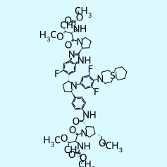 COC[C@H]1C[C@@H](C(=O)Nc2ccc([C@H]3CC[C@H](c4cc5[nH]c([C@@H]6CCCN6C(=O)[C@@H](NC(=O)OC)[C@@H](C)OC)nc5cc4F)N3c3cc(F)c(N4CC[Si]5(CCCCC5)CC4)c(F)c3)cc2)N(C(=O)[C@@H](NC(=O)OC)[C@@H](C)OC)C1